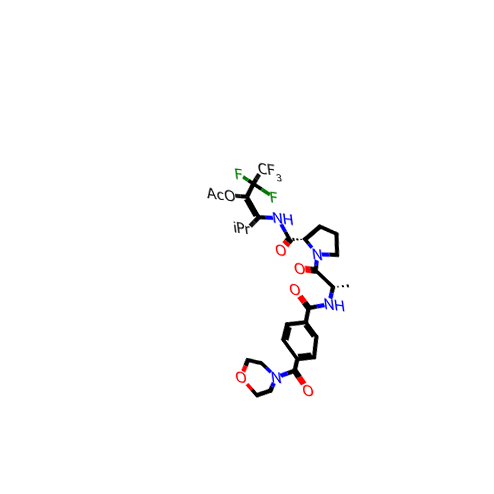 CC(=O)O/C(=C(/NC(=O)[C@@H]1CCCN1C(=O)[C@H](C)NC(=O)c1ccc(C(=O)N2CCOCC2)cc1)C(C)C)C(F)(F)C(F)(F)F